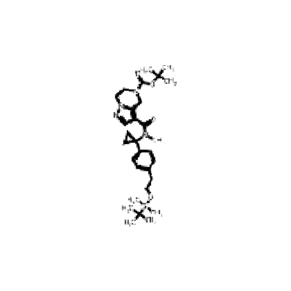 CN(C(=O)c1cnn2c1CN(C(=O)OC(C)(C)C)CC2)C1(c2ccc(CCO[Si](C)(C)C(C)(C)C)cc2)CC1